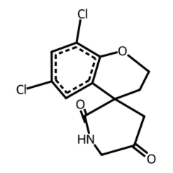 O=C1CNC(=O)C2(CCOc3c(Cl)cc(Cl)cc32)C1